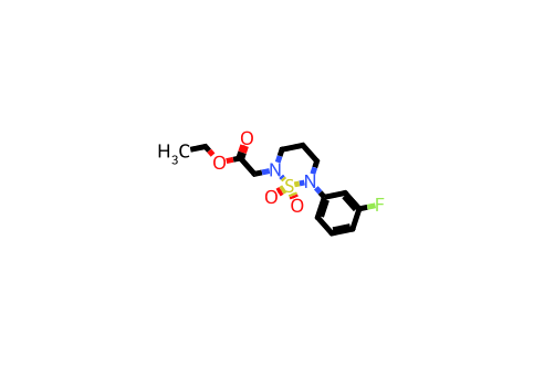 CCOC(=O)CN1CCCN(c2cccc(F)c2)S1(=O)=O